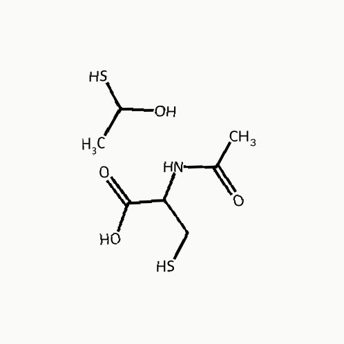 CC(=O)NC(CS)C(=O)O.CC(O)S